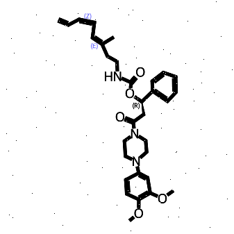 C=C/C=C\C=C(/C)CCNC(=O)O[C@H](CC(=O)N1CCN(c2ccc(OC)c(OC)c2)CC1)c1ccccc1